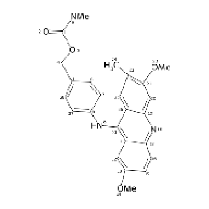 CNC(=O)OCc1ccc(Nc2c3cc(OC)ccc3nc3cc(OC)c(C)cc23)cc1